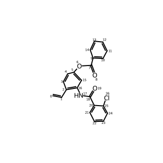 C=Cc1ccc(OC(=O)c2ccccc2)cc1NC(=O)c1ccccc1Cl